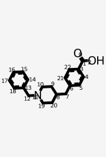 O=C(O)c1ccc(CC2CCN(Cc3ccccc3)CC2)cc1